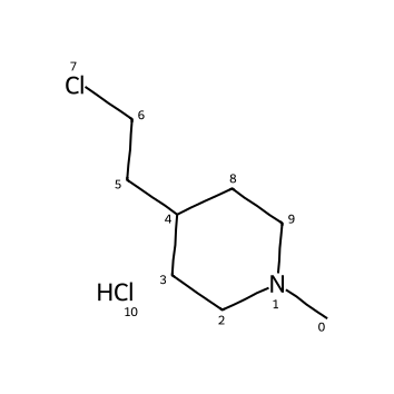 CN1CCC(CCCl)CC1.Cl